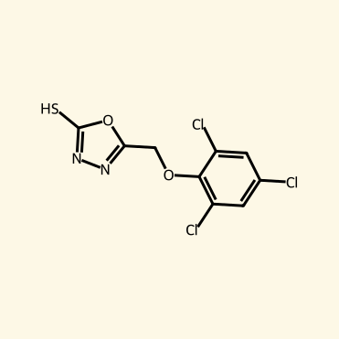 Sc1nnc(COc2c(Cl)cc(Cl)cc2Cl)o1